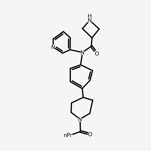 CCCC(=O)N1CCC(c2ccc(N(C(=O)C3CNC3)c3cccnc3)cc2)CC1